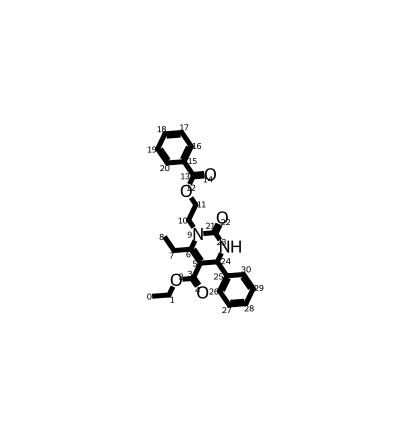 CCOC(=O)C1=C(CC)N(CCOC(=O)c2ccccc2)C(=O)NC1c1ccccc1